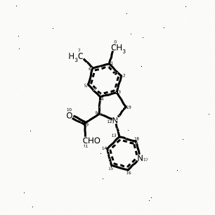 Cc1cc2c(cc1C)C(C(=O)C=O)N(c1cccnc1)C2